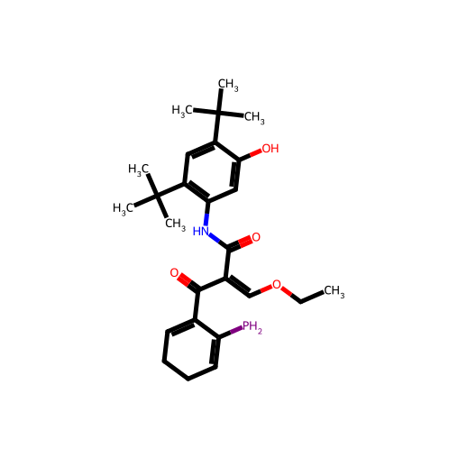 CCO/C=C(\C(=O)Nc1cc(O)c(C(C)(C)C)cc1C(C)(C)C)C(=O)C1=CCCC=C1P